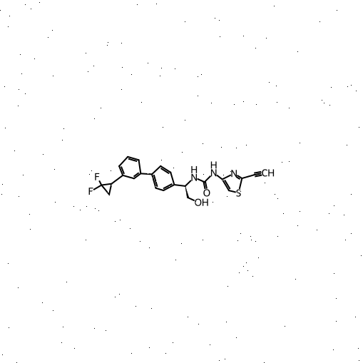 C#Cc1nc(NC(=O)N[C@@H](CO)c2ccc(-c3cccc(C4CC4(F)F)c3)cc2)cs1